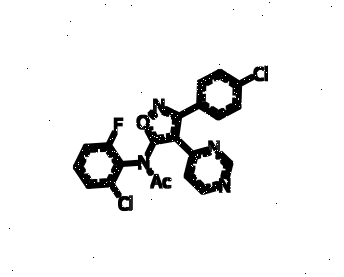 CC(=O)N(c1onc(-c2ccc(Cl)cc2)c1-c1ccncn1)c1c(F)cccc1Cl